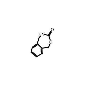 O=C1NCc2ccccc2CO1